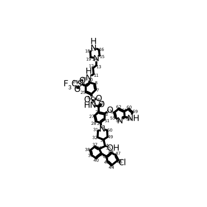 O=C(NS(=O)(=O)c1ccc(NCCCN2CCNCC2)c(S(=O)(=O)C(F)(F)F)c1)c1ccc(N2CCC([C@@H](O)c3ccccc3-c3ccc(Cl)cc3)CC2)cc1Oc1cnc2[nH]ccc2c1